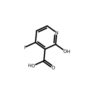 O=C(O)c1c(I)ccnc1O